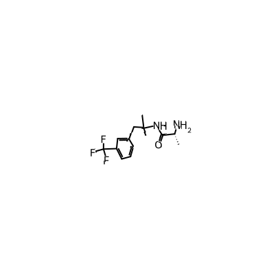 C[C@@H](N)C(=O)NC(C)(C)Cc1cccc(C(F)(F)F)c1